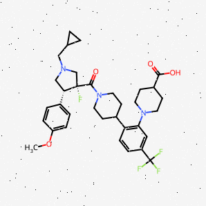 COc1ccc([C@@H]2CN(CC3CC3)C[C@@]2(F)C(=O)N2CCC(c3ccc(C(F)(F)F)cc3N3CCC(C(=O)O)CC3)CC2)cc1